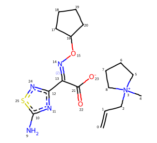 C=CC[N+]1(C)CCCC1.Nc1nc(/C(=N/OC2CCCC2)C(=O)[O-])ns1